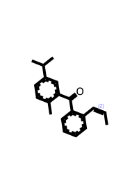 C/C=C\c1ccccc1C(=O)c1cc(C(C)C)ccc1C